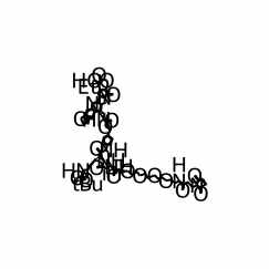 CC[C@@]1(O)C(=O)OCc2c1cc1n(c2=O)Cc2c-1nc1cc3c(cc1c2CNC(=O)OCc1ccc(NC(=O)[C@H](CCCCNC(=O)OC(C)(C)C)NC(=O)[C@@H](NC(=O)CCOCCOCCOCCOCCNC(=O)CCN2C(=O)C=CC2=O)C(C)C)cc1)CCO3